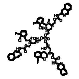 CN(Cc1cccc(F)c1Cl)[C@H](COC(=O)Nc1cc2ccccc2cn1)C[C@@H](O)COP(=O)(OC[C@H](O)C[C@@H](COC(=O)Nc1cc2ccccc2cn1)N(C)Cc1cccc(F)c1Cl)OC[C@H](O)C[C@@H](COC(=O)Nc1cc2ccccc2cn1)N(C)Cc1cccc(F)c1Cl